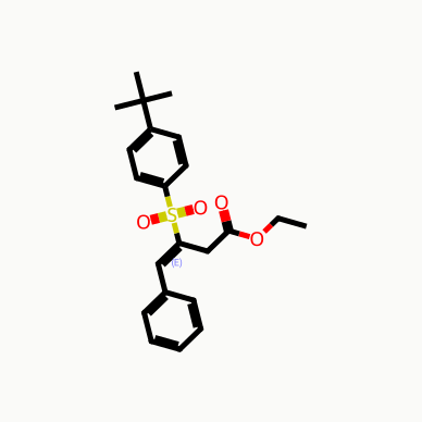 CCOC(=O)C/C(=C\c1ccccc1)S(=O)(=O)c1ccc(C(C)(C)C)cc1